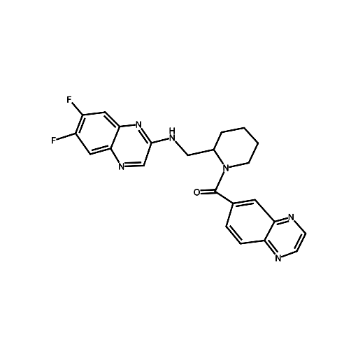 O=C(c1ccc2nccnc2c1)N1CCCCC1CNc1cnc2cc(F)c(F)cc2n1